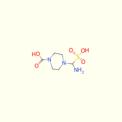 NC(N1CCN(C(=O)O)CC1)S(=O)(=O)O